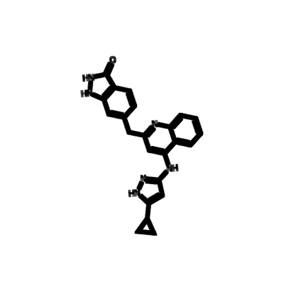 O=c1[nH][nH]c2cc(Cc3cc(Nc4cc(C5CC5)[nH]n4)c4ccccc4n3)ccc12